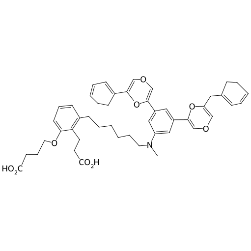 CN(CCCCCCc1cccc(OCCCC(=O)O)c1CCC(=O)O)c1cc(C2=COC=C(CC3=CC=CCC3)O2)cc(C2=COC=C(C3=CC=CCC3)O2)c1